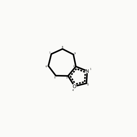 [c]1nc2c(o1)CCCCC2